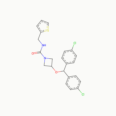 O=C(NCc1cccs1)N1CC(OC(c2ccc(Cl)cc2)c2ccc(Cl)cc2)C1